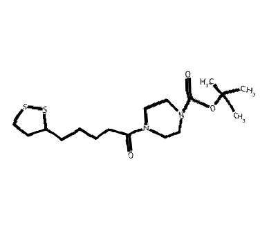 CC(C)(C)OC(=O)N1CCN(C(=O)CCCCC2CCSS2)CC1